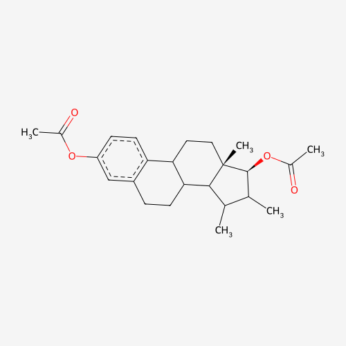 CC(=O)Oc1ccc2c(c1)CCC1C2CC[C@@]2(C)C1C(C)C(C)[C@@H]2OC(C)=O